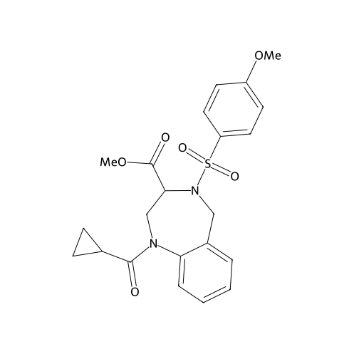 COC(=O)C1CN(C(=O)C2CC2)c2ccccc2CN1S(=O)(=O)c1ccc(OC)cc1